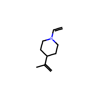 C=CN1CCC(C(=C)C)CC1